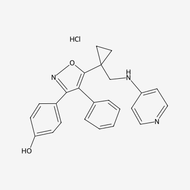 Cl.Oc1ccc(-c2noc(C3(CNc4ccncc4)CC3)c2-c2ccccc2)cc1